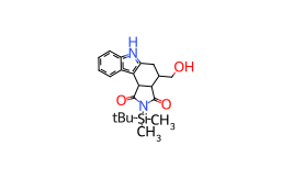 CC(C)(C)[Si](C)(C)N1C(=O)C2c3c([nH]c4ccccc34)CC(CO)C2C1=O